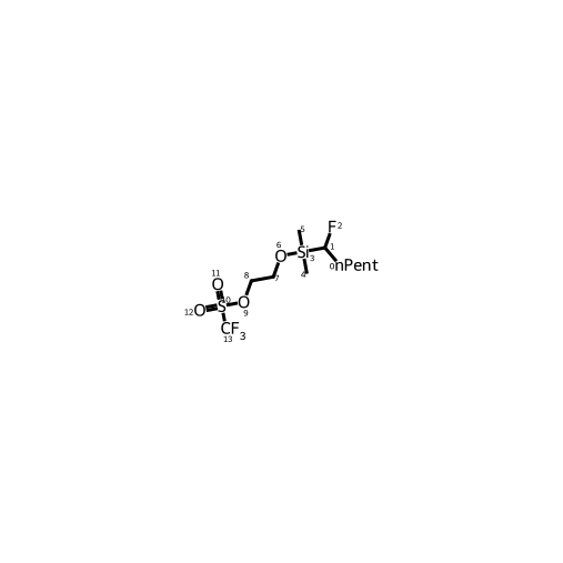 CCCCCC(F)[Si](C)(C)OCCOS(=O)(=O)C(F)(F)F